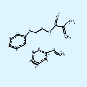 C=C(C)C(=O)OCCOc1ccccc1.C=Cc1cccnn1